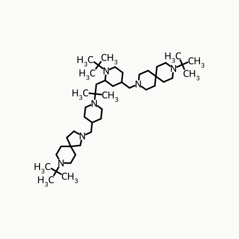 CC(C)(C)N1CCC2(CCN(CC3CCN(C(C)(C)C)C(CC(C)(C)N4CCC(CN5CCC6(CCN(C(C)(C)C)CC6)C5)CC4)C3)CC2)CC1